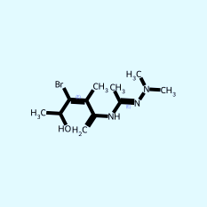 C=C(N/C(C)=N/N(C)C)/C(C)=C(/Br)C(C)O